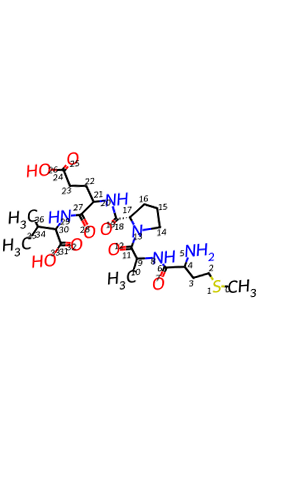 CSCCC(N)C(=O)NC(C)C(=O)N1CCC[C@H]1C(=O)NC(CCC(=O)O)C(=O)NC(C(=O)O)C(C)C